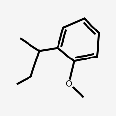 CC[C](C)c1ccccc1OC